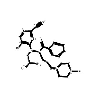 CC(C)CN(c1nc(C#N)ncc1Br)N(CCCN1CCN(C)CC1)C(=O)c1ccccc1